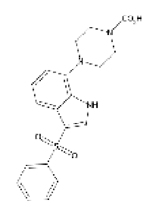 O=C(O)N1CCN(c2cccc3c(S(=O)(=O)c4ccccc4)c[nH]c23)CC1